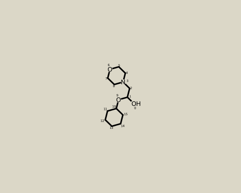 OC(CN1CCOCC1)OC1CCCCC1